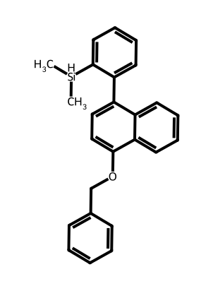 C[SiH](C)c1ccccc1-c1ccc(OCc2ccccc2)c2ccccc12